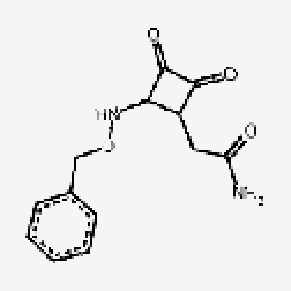 NC(=O)CC1[C](NOCc2ccccc2)C(=O)C1=O